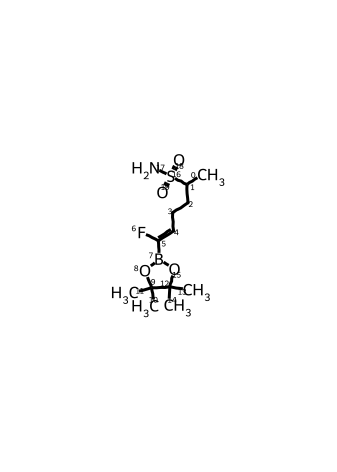 CC(CC/C=C(\F)B1OC(C)(C)C(C)(C)O1)S(N)(=O)=O